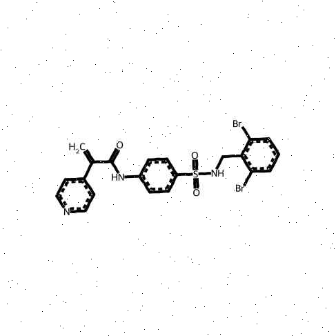 C=C(C(=O)Nc1ccc(S(=O)(=O)NCc2c(Br)cccc2Br)cc1)c1ccncc1